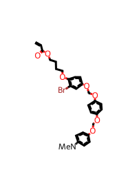 C=CC(=O)OCCCCOc1ccc(OCOc2ccc(OCOc3ccc(NC)cc3)cc2)cc1Br